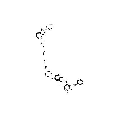 Cc1c(O)cc(O)c(C(=O)N2Cc3ccc(CN4CCN(CCOCCOCCOCCNc5cccc6c5CN(C5CCC(=O)NC5=O)C6=O)CC4)cc3C2)c1OCc1ccccc1